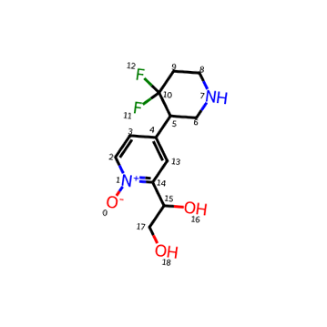 [O-][n+]1ccc(C2CNCCC2(F)F)cc1C(O)CO